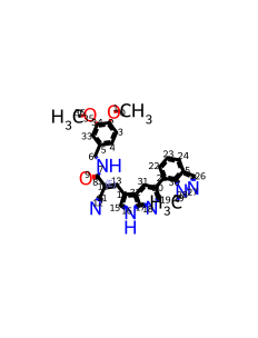 COc1ccc(CNC(=O)/C(C#N)=C/c2c[nH]c3ncc(-c4cccc5cnn(C)c45)cc23)cc1OC